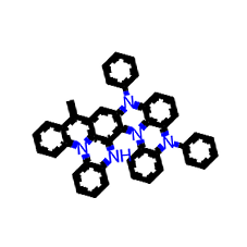 C=c1c2ccccc2n2c3ccccc3[nH]c3c2c1cc1c3n2c3ccccc3n(-c3ccccc3)c3cccc(c32)n1-c1ccccc1